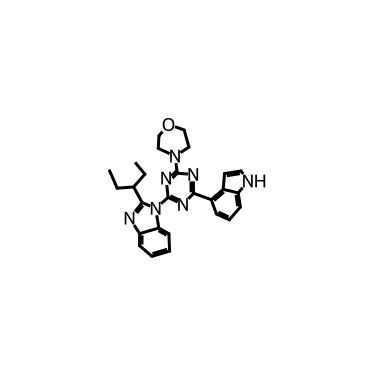 CCC(CC)c1nc2ccccc2n1-c1nc(-c2cccc3[nH]ccc23)nc(N2CCOCC2)n1